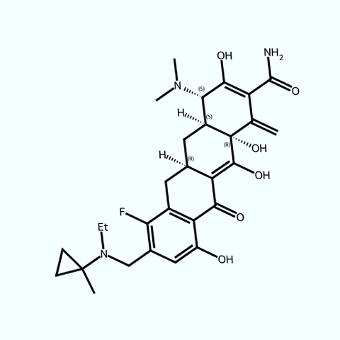 C=C1C(C(N)=O)=C(O)[C@@H](N(C)C)[C@@H]2C[C@@H]3Cc4c(F)c(CN(CC)C5(C)CC5)cc(O)c4C(=O)C3=C(O)[C@]12O